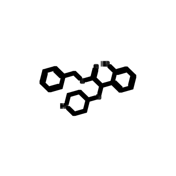 O=C(OCc1ccccc1)C(OC1CCNCC1)c1ccccc1O